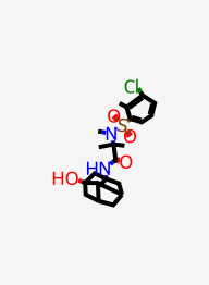 Cc1c(Cl)cccc1S(=O)(=O)N(C)C(C)(C)C(=O)NC12CC3CC(CC(O)(C3)C1)C2